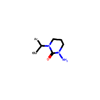 CC(=O)C(N1CCCN(N)C1=O)C(C)(C)C